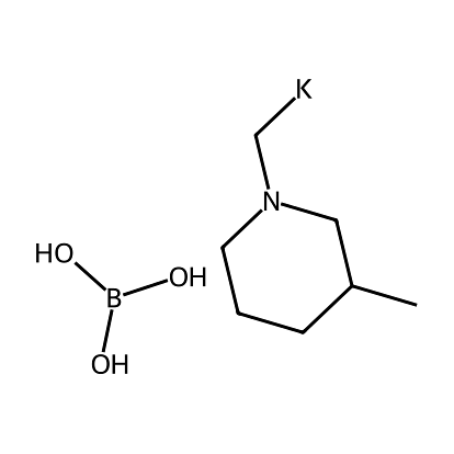 CC1CCCN([CH2][K])C1.OB(O)O